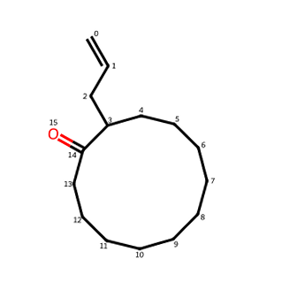 C=CCC1CCCCCCCCCCC1=O